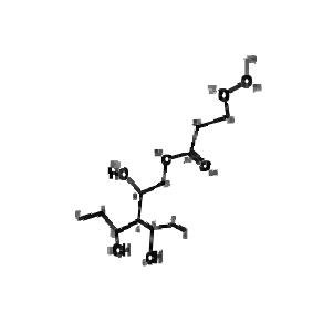 CCC(O)C(C(O)CC)C(O)COC(=O)CCOOC